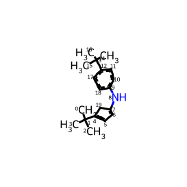 CC(C)(C)C1=CC=C(Nc2ccc(C(C)(C)C)cc2)C1